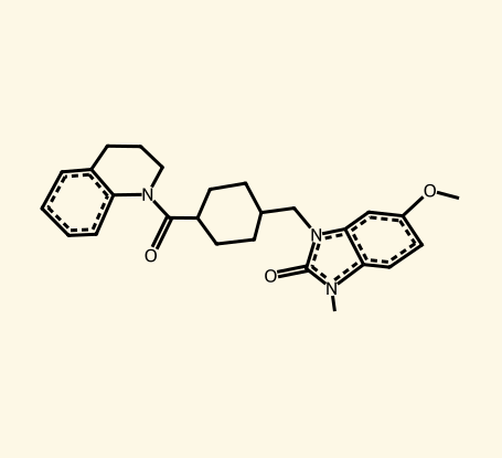 COc1ccc2c(c1)n(CC1CCC(C(=O)N3CCCc4ccccc43)CC1)c(=O)n2C